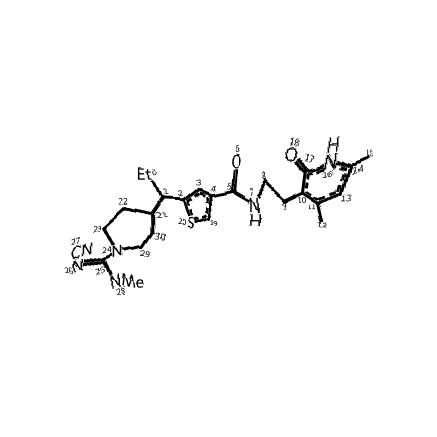 CCC(c1cc(C(=O)NCCc2c(C)cc(C)[nH]c2=O)cs1)C1CCN(/C(=N\C#N)NC)CC1